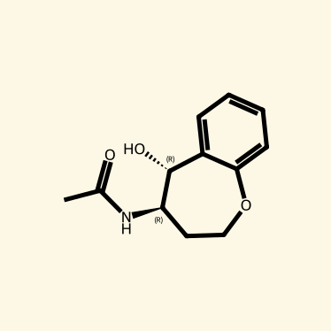 CC(=O)N[C@@H]1CCOc2ccccc2[C@H]1O